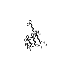 CCCCCC(=O)[O-].CCCCCC(=O)[O-].CCCCCC(=O)[O-].CCCCCC(=O)[O-].[Pb+4]